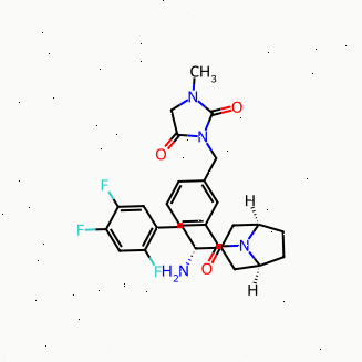 CN1CC(=O)N(Cc2cccc(C(=O)N3[C@@H]4CC[C@H]3CC([C@H](N)Cc3cc(F)c(F)cc3F)C4)c2)C1=O